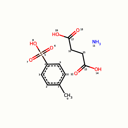 Cc1ccc(S(=O)(=O)O)cc1.N.O=C(O)CCC(=O)O